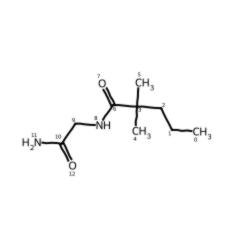 CCCC(C)(C)C(=O)NCC(N)=O